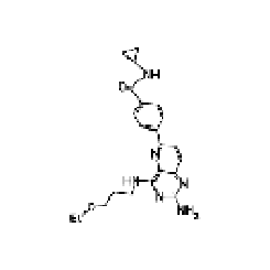 CCOCCCNc1nc(N)nc2ccc(-c3ccc(C(=O)NC4CC4)cc3)nc12